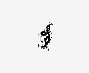 CC(C)N1CCN(S(=O)(=O)N(Cc2ccc(C(=O)NN)cn2)c2ccc(F)c(Cl)c2)CC1